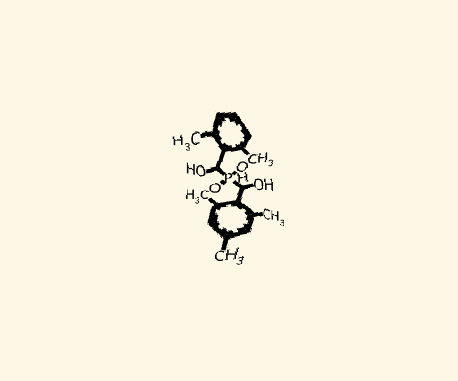 Cc1cc(C)c(C(O)P(=O)(O)C(O)c2c(C)cccc2C)c(C)c1